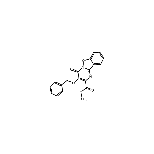 COC(=O)c1nc2c3ccccc3on2c(=O)c1OCc1ccccc1